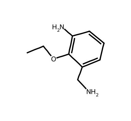 CCOc1c(N)cccc1CN